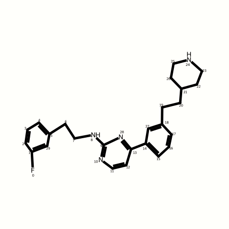 Fc1cccc(CCNc2nccc(-c3cccc(CCC4CCNCC4)c3)n2)c1